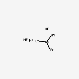 CC[As](C(C)C)C(C)C.F.F.F